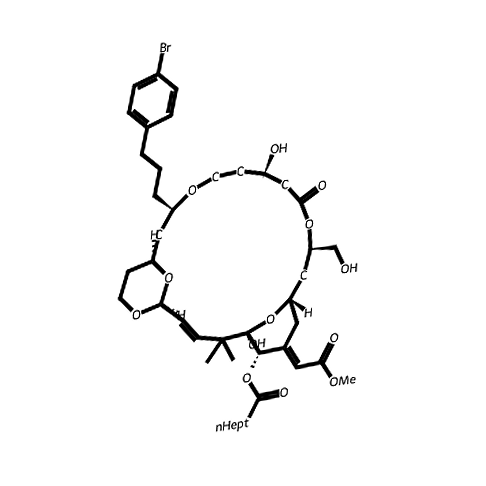 CCCCCCCC(=O)O[C@H]1/C(=C/C(=O)OC)C[C@H]2C[C@H](CO)OC(=O)C[C@H](O)CCO[C@H](CCCc3ccc(Br)cc3)C[C@@H]3CCO[C@H](/C=C/C(C)(C)[C@]1(O)O2)O3